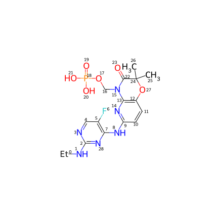 CCNc1ncc(F)c(Nc2ccc3c(n2)N(COP(=O)(O)O)C(=O)C(C)(C)O3)n1